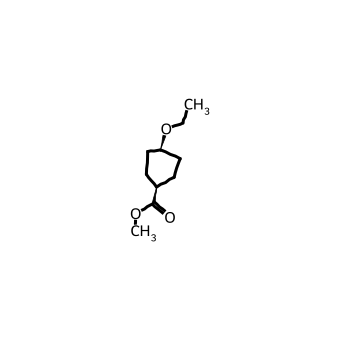 CCO[C@H]1CC[C@@H](C(=O)OC)CC1